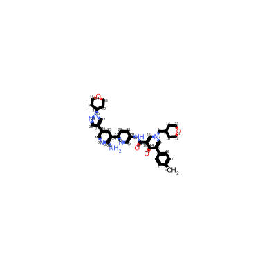 Cc1ccc(-c2cn(CC3CCOCC3)cc(C(=O)Nc3ccc(-c4cc(-c5cnn(C6CCOCC6)c5)cnc4N)nc3)c2=O)cc1